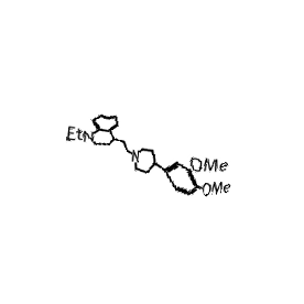 CCN1CCC(CCN2CCC(c3ccc(OC)c(OC)c3)CC2)c2ccccc21